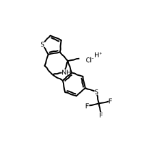 CC12NC(Cc3sccc31)c1ccc(SC(F)(F)F)cc12.[Cl-].[H+]